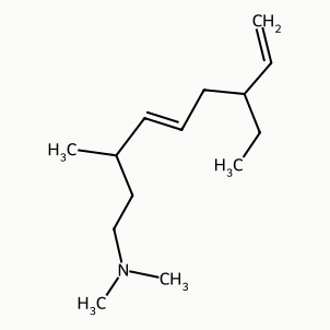 C=CC(CC)CC=CC(C)CCN(C)C